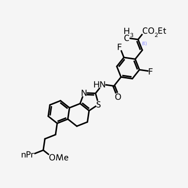 CCCC(CCc1cccc2c1CCc1sc(NC(=O)c3cc(F)c(/C=C(\C)C(=O)OCC)c(F)c3)nc1-2)OC